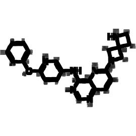 c1ccc(Oc2ccc(Nc3ncnc4ccc(N5CC6(CCN6)C5)nc34)cn2)cc1